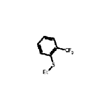 CCSc1[c]cccc1C(F)(F)F